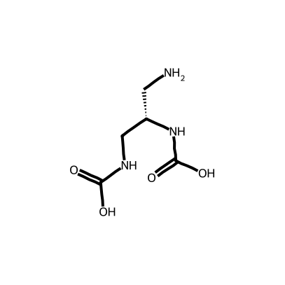 NC[C@@H](CNC(=O)O)NC(=O)O